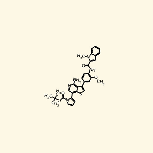 COc1cc(-c2csc3c(-c4cccn4C(=O)OC(C)(C)C)cnc(N)c23)ccc1NC(=O)c1cc2ccccc2n1C